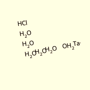 Cl.O.O.O.O.O.O.[Ta]